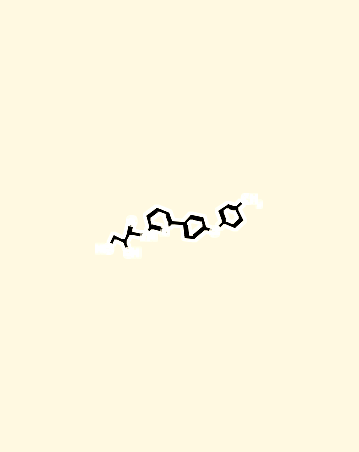 Cc1ccc(Oc2ccc(-c3cccc(NC(=O)C(O)CO)n3)cc2)cc1